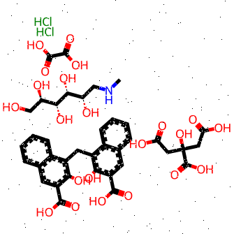 CNC[C@H](O)[C@@H](O)[C@H](O)[C@H](O)CO.Cl.Cl.O=C(O)C(=O)O.O=C(O)CC(O)(CC(=O)O)C(=O)O.O=C(O)c1cc2ccccc2c(Cc2c(O)c(C(=O)O)cc3ccccc23)c1O